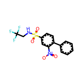 O=[N+]([O-])c1cc(S(=O)(=O)NCC(F)(F)F)ccc1-c1ccccc1